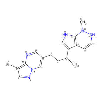 CC(C)c1cnn2cc(CCC(C)c3c[nH]c4c3C=CNN4C)cnc12